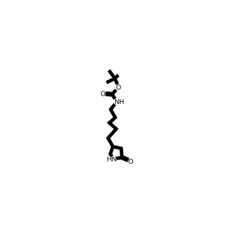 CC(C)(C)OC(=O)NCCCCCC1CNC(=O)C1